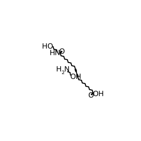 NCCCO.O=C(O)CCCCCCCCC#CC#CCCCCCCCCC(=O)NCCCO